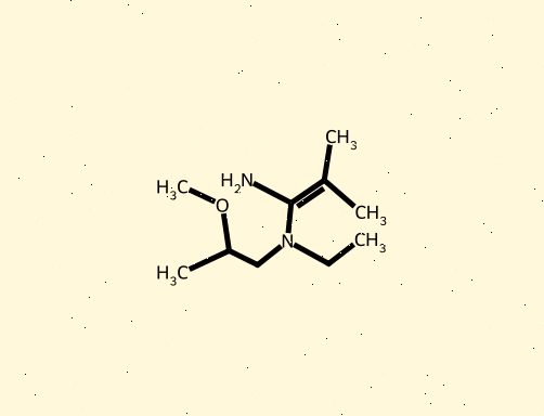 CCN(CC(C)OC)C(N)=C(C)C